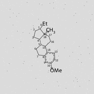 CCC1CCC2C3CCc4cc(OC)ccc4C3CC[C@]12C